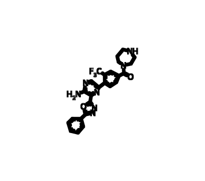 Nc1ncc(-c2ccc(C(=O)N3CCCNCC3)cc2C(F)(F)F)nc1-c1nnc(-c2ccccc2)o1